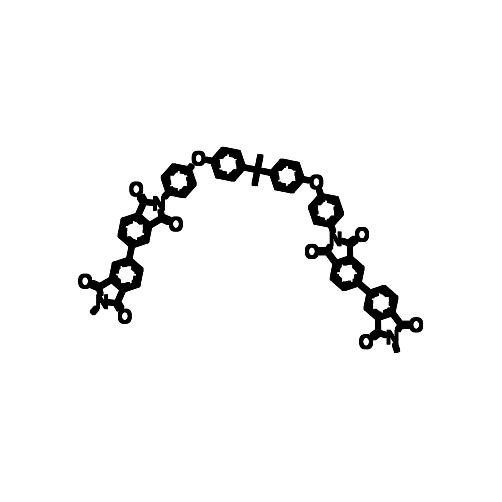 CN1C(=O)c2ccc(-c3ccc4c(c3)C(=O)N(c3ccc(Oc5ccc(C(C)(C)c6ccc(Oc7ccc(N8C(=O)c9ccc(-c%10ccc%11c(c%10)C(=O)N(C)C%11=O)cc9C8=O)cc7)cc6)cc5)cc3)C4=O)cc2C1=O